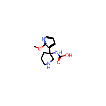 COc1ncccc1C1(NC(=O)O)CCCNC1